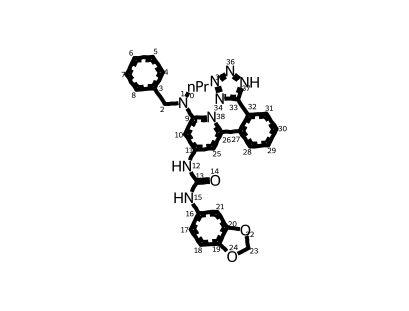 CCCN(Cc1ccccc1)c1cc(NC(=O)Nc2ccc3c(c2)OCO3)cc(-c2ccccc2-c2nnn[nH]2)n1